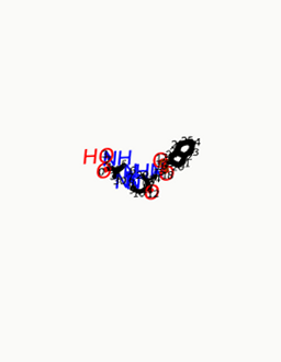 O=C(NO)c1cnc(N2CCC(=O)[C@H](CNS(=O)(=O)c3ccc4ccccc4c3)C2)nc1